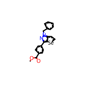 COC(=O)c1ccc(-c2nn(Cc3ccccc3)c3cc[se]c23)cc1